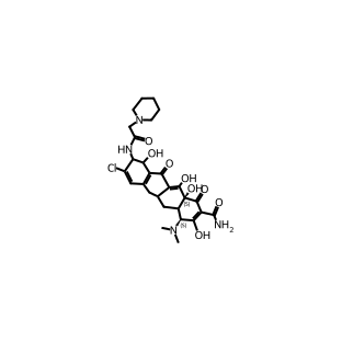 CN(C)[C@@H]1C(O)=C(C(N)=O)C(=O)[C@@]2(O)C(O)=C3C(=O)C4=C(C=C(Cl)C(NC(=O)CN5CCCCC5)C4O)CC3CC12